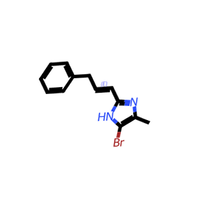 Cc1nc(/C=C/Cc2ccccc2)[nH]c1Br